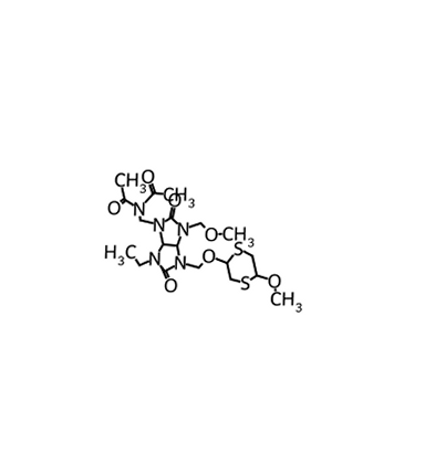 CCN1C(=O)N(COC2CSC(OC)CS2)C2C1N(CN(C(C)=O)C(C)=O)C(=O)N2COC